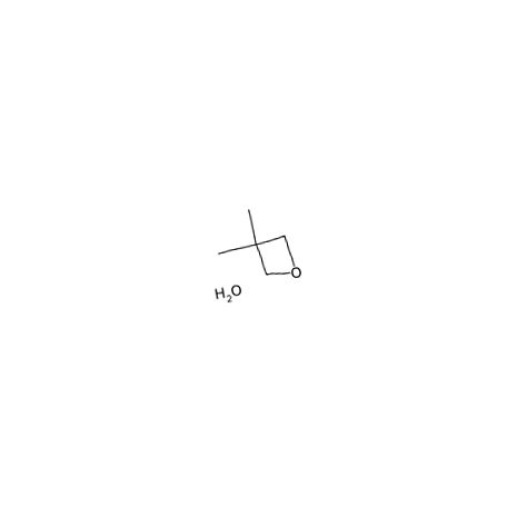 CC1(C)COC1.O